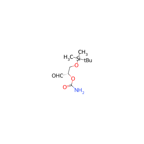 CC(C)(C)[Si](C)(C)OC[C@@H](C=O)OC(N)=O